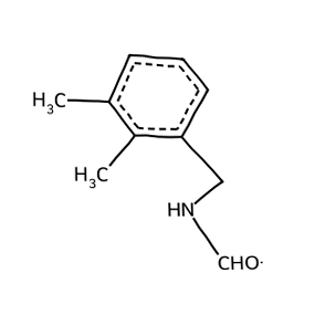 Cc1cccc(CN[C]=O)c1C